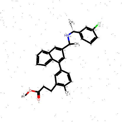 CC(C)OC(=O)CCc1cc(-c2cc(C(C)N[C@H](C)c3cccc(Cl)c3)cc3ccccc23)ccc1C(F)(F)F